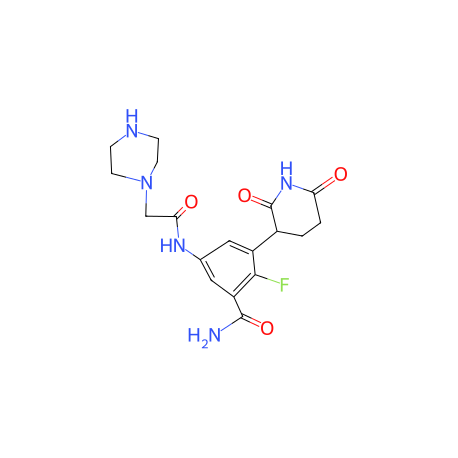 NC(=O)c1cc(NC(=O)CN2CCNCC2)cc(C2CCC(=O)NC2=O)c1F